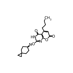 CCCCc1cc(=O)oc2nc(ON=C3CCC4(CC3)CC4)[nH]c(=O)c12